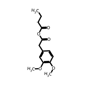 CC[CH]C(=O)OC(=O)Cc1ccc(OC)c(OC)c1